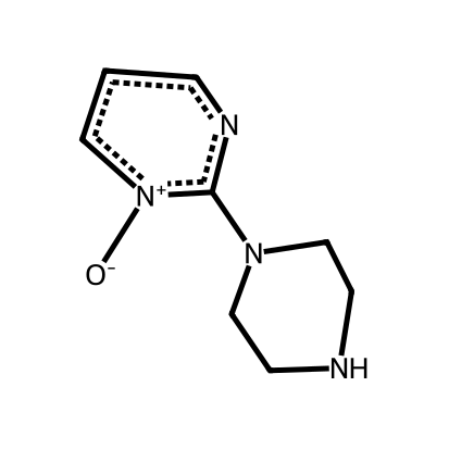 [O-][n+]1cccnc1N1CCNCC1